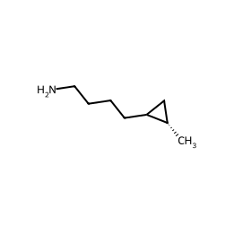 C[C@H]1CC1CCCCN